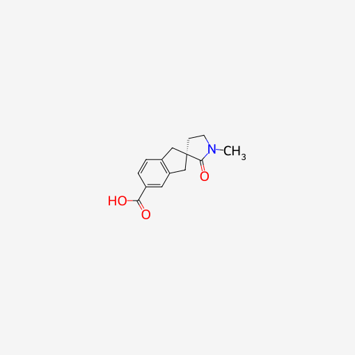 CN1CC[C@]2(Cc3ccc(C(=O)O)cc3C2)C1=O